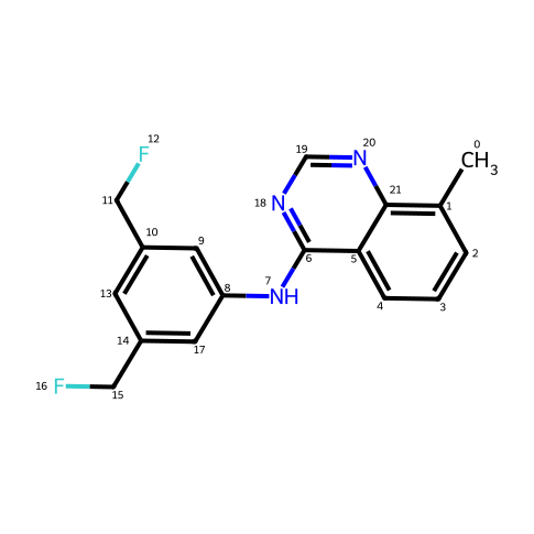 Cc1cccc2c(Nc3cc(CF)cc(CF)c3)ncnc12